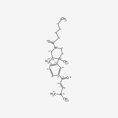 CCCCCC(=O)N1CCC(C)(c2cccc(C(=O)/C=C/N(C)C)c2)C(C)C1